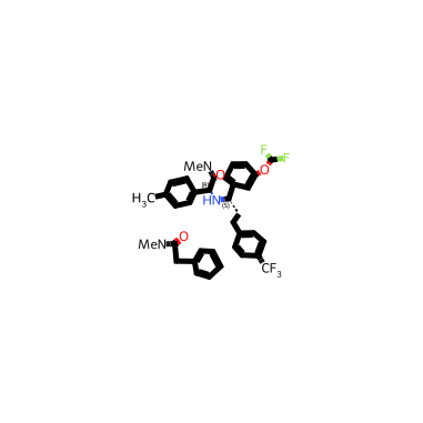 CNC(=O)Cc1ccccc1.CNC(=O)[C@H](N[C@@H](CCc1ccc(C(F)(F)F)cc1)c1cccc(OC(F)F)c1)c1ccc(C)cc1